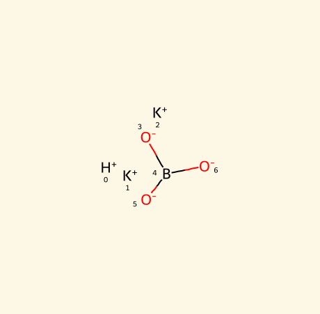 [H+].[K+].[K+].[O-]B([O-])[O-]